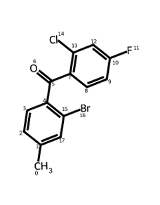 Cc1ccc(C(=O)c2ccc(F)cc2Cl)c(Br)c1